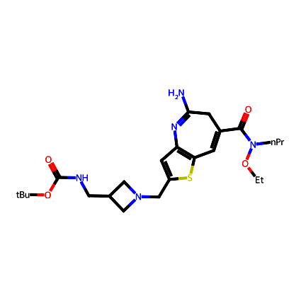 CCCN(OCC)C(=O)C1=Cc2sc(CN3CC(CNC(=O)OC(C)(C)C)C3)cc2N=C(N)C1